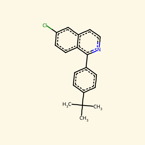 CC(C)(C)c1ccc(-c2nccc3cc(Cl)ccc23)cc1